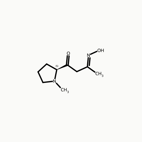 CC(CC(=O)[C@@H]1CCCN1C)=NO